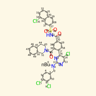 CCCCN(Cc1ccc(Cl)c(Cl)c1)c1ncc(Cl)c(-c2ccc(C(=O)NS(=O)(=O)c3ccc4cccc(Cl)c4c3)cc2C(=O)N2CCc3ccccc3C2)n1